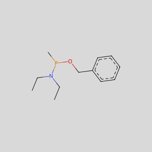 CCN(CC)P(C)OCc1ccccc1